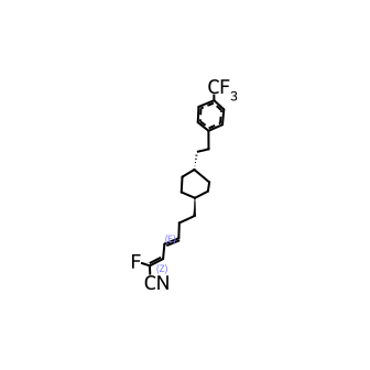 N#C/C(F)=C/C=C/CC[C@H]1CC[C@H](CCc2ccc(C(F)(F)F)cc2)CC1